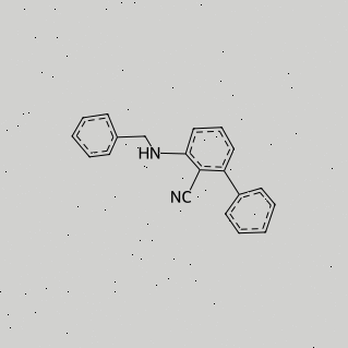 N#Cc1c(NCc2ccccc2)cccc1-c1ccccc1